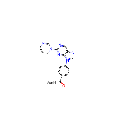 CNC(=O)c1ccc(-n2cnc3cnc(N4C=NC=CC4)nc32)cc1